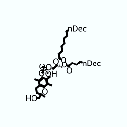 CCCCCCCCCCCCCCCCCC(=O)O[C@H](COC(=O)CCCCCCCCCCCCC)COP(=O)(O)Oc1c(C)c(C)c2c(c1C)CCC(C)(CO)O2